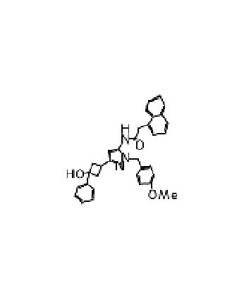 COc1ccc(Cn2nc(C3CC(O)(c4ccccc4)C3)cc2NC(=O)Cc2cccc3ccccc23)cc1